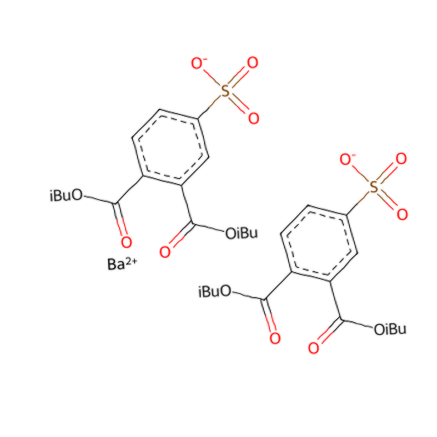 CC(C)COC(=O)c1ccc(S(=O)(=O)[O-])cc1C(=O)OCC(C)C.CC(C)COC(=O)c1ccc(S(=O)(=O)[O-])cc1C(=O)OCC(C)C.[Ba+2]